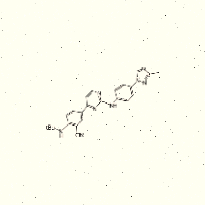 Cc1ncn(-c2ccc(Nc3nccc(-c4ccc(NC(C)(C)C)c(C#N)c4)n3)cc2)n1